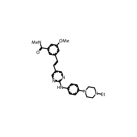 CCN1CCN(c2ccc(Nc3ncc(C=Cc4cc(OC)cc(C(=O)NC)c4)cn3)cc2)CC1